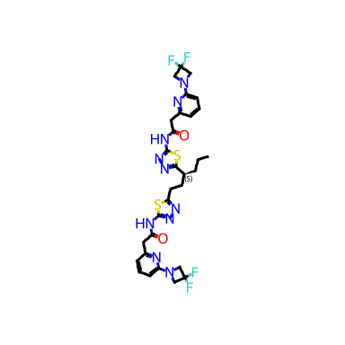 CCC[C@@H](CCc1nnc(NC(=O)Cc2cccc(N3CC(F)(F)C3)n2)s1)c1nnc(NC(=O)Cc2cccc(N3CC(F)(F)C3)n2)s1